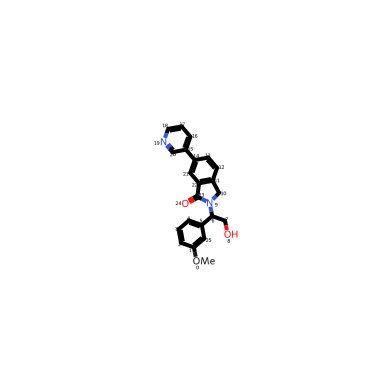 COc1cccc(C(CO)N2Cc3ccc(-c4cccnc4)cc3C2=O)c1